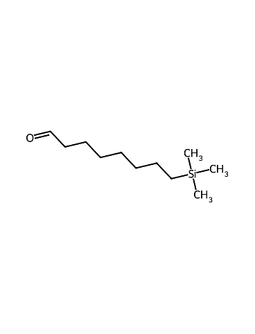 C[Si](C)(C)CCCCCCCC=O